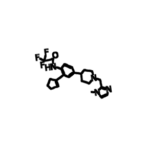 Cn1ccnc1CN1CCC(c2ccc(NC(=O)C(F)(F)F)c(C3=CCCC3)c2)CC1